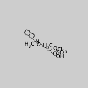 CC(=NOCCCCC1COC(C)(C(=O)O)OC1C)c1ccc2ccccc2c1